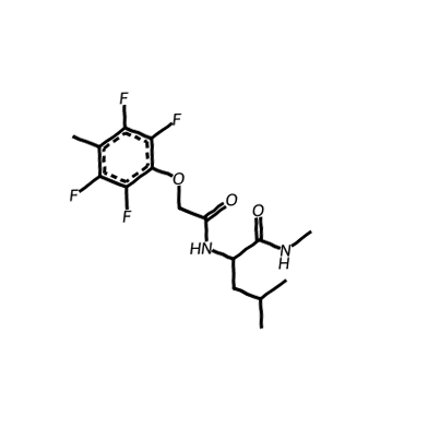 CNC(=O)C(CC(C)C)NC(=O)COc1c(F)c(F)c(C)c(F)c1F